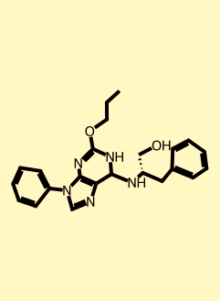 CCCOC1=Nc2c(ncn2-c2ccccc2)C(N[C@H](CO)Cc2ccccc2)N1